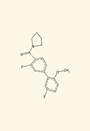 COc1ccc(F)cc1-c1ccc(C(=O)N2CCCC2)c(F)c1